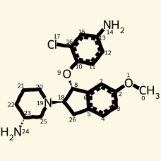 COc1ccc2c(c1)[C@@H](Oc1ccc(N)cc1Cl)[C@H](N1CCC[C@@H](N)C1)C2